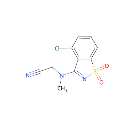 CN(CC#N)C1=NS(=O)(=O)c2cccc(Cl)c21